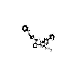 Nc1nc(N2CCC[C@H]2C(=O)N2CC(COc3ccccc3)C2)nc2nc(-c3ccco3)nn12